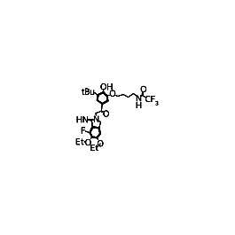 CCOc1cc2c(c(F)c1OCC)C(=N)N(CC(=O)c1cc(OCCCCNC(=O)C(F)(F)F)c(O)c(C(C)(C)C)c1)C2